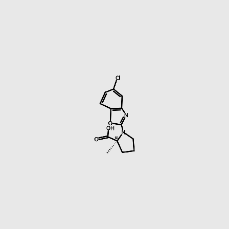 C[C@@]1(C(=O)O)CCCN1c1nc2cc(Cl)ccc2o1